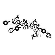 CN[C@@H](CC(C)(C)F)C(=O)O[C@H](Cc1ccc(N2CCOCC2)cc1)C(=O)N(C)[C@@H](CC(C)C)C(=O)O[C@H](C)C(=O)N(C)C(CC(C)(C)F)C(=O)O[C@H](Cc1ccc(N2CCOCC2)cc1)C(=O)N(C)[C@@H](CC(C)C)C(=O)O[C@H](C)C(=O)OCc1ccccc1